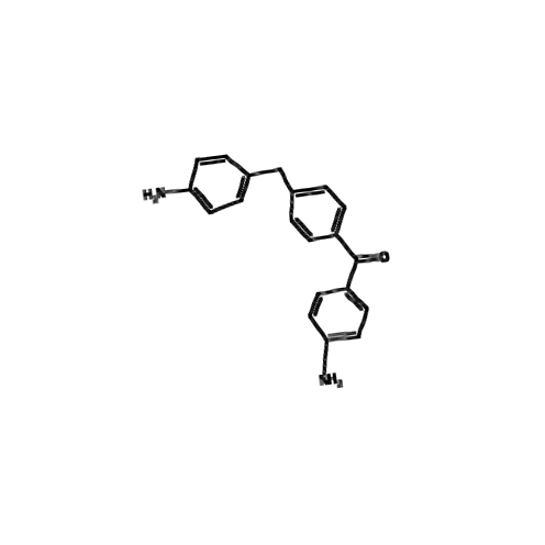 Nc1ccc(Cc2ccc(C(=O)c3ccc(N)cc3)cc2)cc1